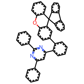 c1ccc(-c2cc(-c3ccccc3-c3ccc4c(c3)C3(c5ccccc5O4)c4ccccc4-c4ccccc43)nc(-c3ccccc3)n2)cc1